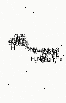 CC[C@@H]1[C@H](F)C(=O)N[C@@H]1COc1ncc(C#CC2CCN(CCCC3CCN(c4cccc5c4C(=O)N(C4CCC(=O)NC4=O)C5=O)CC3)CC2)c2cc(C(N)=O)c(OC)cc12